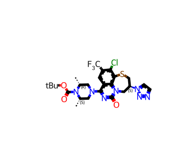 C[C@@H]1CN(c2nc(=O)n3c4c(c(Cl)c(C(F)(F)F)cc24)SC[C@@H](n2ccnn2)C3)C[C@H](C)N1C(=O)OC(C)(C)C